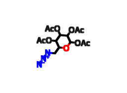 CC(=O)OC1OC(CN=[N+]=[N-])C(OC(C)=O)C(OC(C)=O)C1OC(C)=O